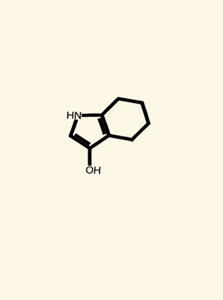 Oc1c[nH]c2c1CCCC2